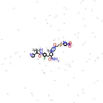 [2H]C1([2H])C(C(=O)Nc2ccc(CC3=C(C(N)=O)C=CC([2H])(N4CCN(C(=O)CCSSc5ccc([N+](=O)[O-])cn5)CC4)C3)c(F)c2)C1c1cccnc1